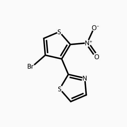 O=[N+]([O-])c1scc(Br)c1-c1nccs1